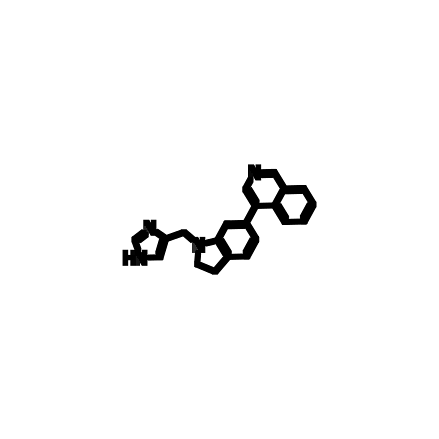 c1ccc2c(-c3ccc4c(c3)N(Cc3c[nH]cn3)CC4)cncc2c1